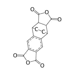 O=C1OC(=O)c2cc3c(cc21)C1CCC3C2C(=O)OC(=O)C12